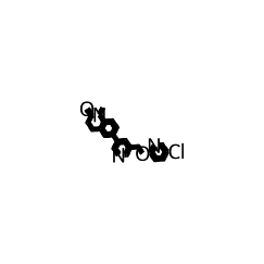 CN1C(=O)CCc2cc(-c3cncc(COc4ccc(Cl)cn4)c3)ccc21